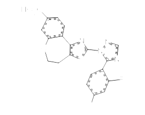 O=C(O)c1ccc2c(c1)OCCc1sc(-n3ncnc3-c3ccc(F)cc3F)nc1-2